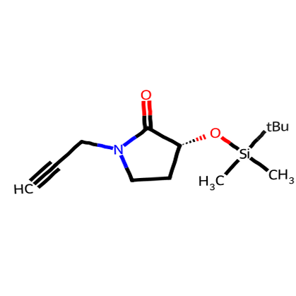 C#CCN1CC[C@@H](O[Si](C)(C)C(C)(C)C)C1=O